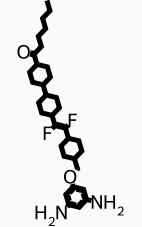 CCCCCCC(=O)C1CCC(C2CCC(/C(F)=C(\F)C3CCC(COc4cc(N)cc(N)c4)CC3)CC2)CC1